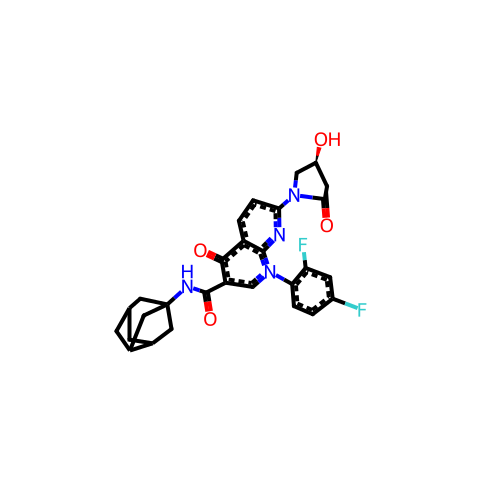 O=C(NC12CC3CC(C1)C(C3)C2)c1cn(-c2ccc(F)cc2F)c2nc(N3C[C@@H](O)CC3=O)ccc2c1=O